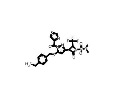 CN(C)S(=O)(=O)N1C(=O)C(c2cc(SCc3ccc(CN)cc3)n(C(=O)c3cscn3)n2)C1C(F)(F)F